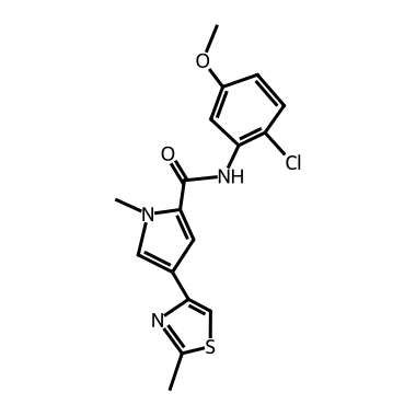 COc1ccc(Cl)c(NC(=O)c2cc(-c3csc(C)n3)cn2C)c1